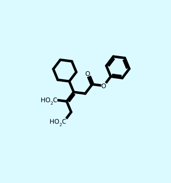 O=C(O)CC(C(=O)O)=C(CC(=O)Oc1ccccc1)C1CCCCC1